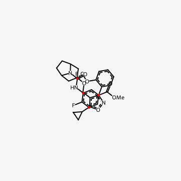 COC(=O)c1ccc(F)c(NC(=O)N2C3CCC2CC(OCc2c(-c4ccccc4OC(F)(F)F)noc2C2CC2)C3)c1